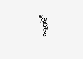 COCCON=C1CCN(c2ncc(Br)cn2)CC1